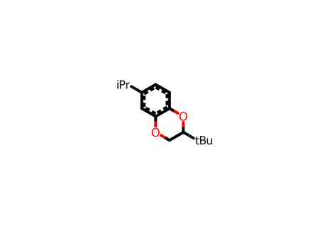 CC(C)c1ccc2c(c1)OCC(C(C)(C)C)O2